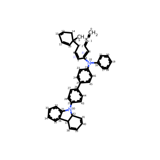 C=C=C/C=C(\C=C/CC1(C)C=CC=CC1)N(c1ccccc1)c1ccc(-c2ccc(N3c4ccccc4C4C=CC=CC43)cc2)cc1